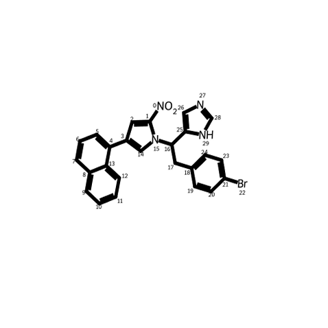 O=[N+]([O-])c1cc(-c2cccc3ccccc23)cn1C(Cc1ccc(Br)cc1)c1cnc[nH]1